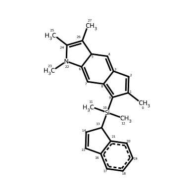 CC1=CC2=CC3C(=CC2=C1[Si](C)(C)C1C=Cc2ccccc21)N(C)C(C)=C3C